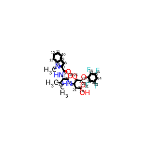 CC(C)[C@H](NC(=O)c1cc2ccccc2n1C)C(=O)NC(CC(=O)O)C(=O)COc1c(F)c(F)cc(F)c1F